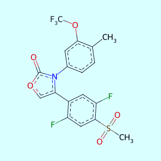 Cc1ccc(-n2c(-c3cc(F)c(S(C)(=O)=O)cc3F)coc2=O)cc1OC(F)(F)F